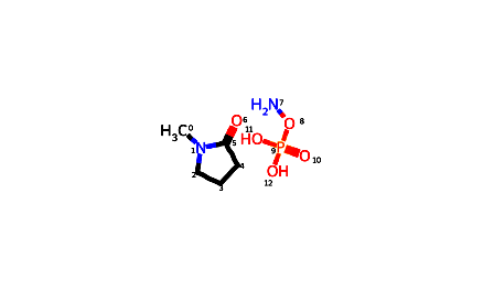 CN1CCCC1=O.NOP(=O)(O)O